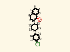 O=C1c2ccccc2CCC1[C@H]1CC[C@@H](c2ccc(Cl)cc2)CC1